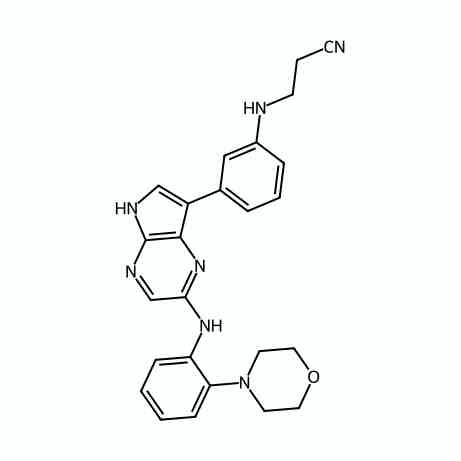 N#CCCNc1cccc(-c2c[nH]c3ncc(Nc4ccccc4N4CCOCC4)nc23)c1